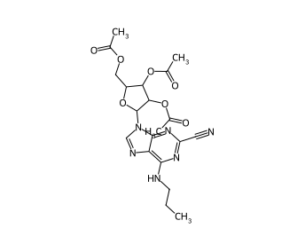 CCCNc1nc(C#N)nc2c1ncn2C1OC(COC(C)=O)C(OC(C)=O)C1OC(C)=O